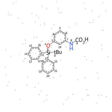 CC(C)(C)[Si](Oc1cccc(NC(=O)O)c1)(c1ccccc1)c1ccccc1